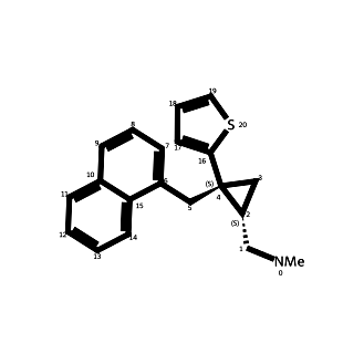 CNC[C@H]1C[C@@]1(Cc1cccc2ccccc12)c1cccs1